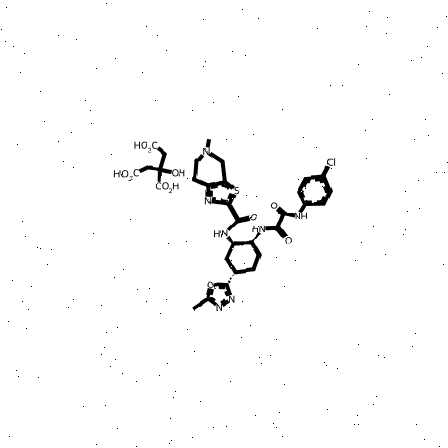 Cc1nnc([C@H]2CC[C@H](NC(=O)C(=O)Nc3ccc(Cl)cc3)[C@H](NC(=O)c3nc4c(s3)CN(C)CC4)C2)o1.O=C(O)CC(O)(CC(=O)O)C(=O)O